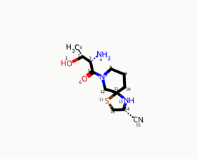 C[C@@H](O)[C@H](N)C(=O)N1CCCC2(C1)N[C@H](C#N)CS2